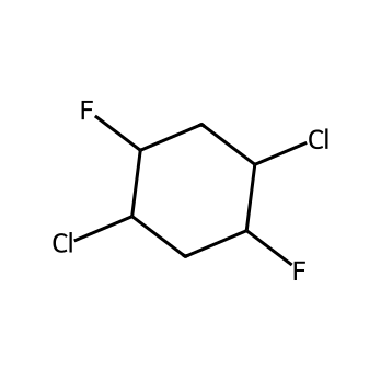 FC1CC(Cl)C(F)CC1Cl